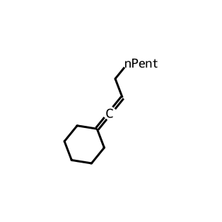 CCCCCCC=C=C1CCCCC1